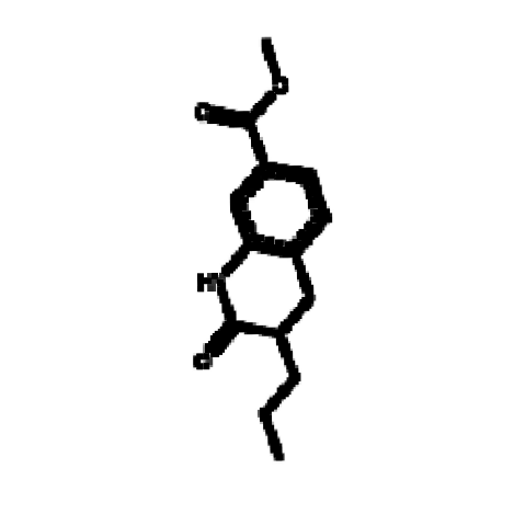 CCCC1Cc2ccc(C(=O)OC)cc2NC1=O